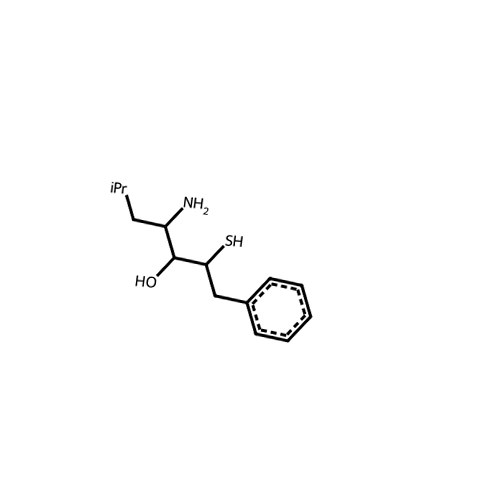 CC(C)CC(N)C(O)C(S)Cc1ccccc1